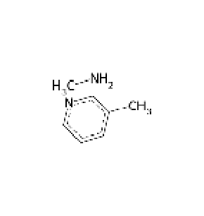 CN.Cc1cccnc1